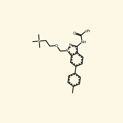 CCCC(=O)Nc1nn(COCC[Si](C)(C)C)c2cc(-c3ccc(C)cc3)ccc12